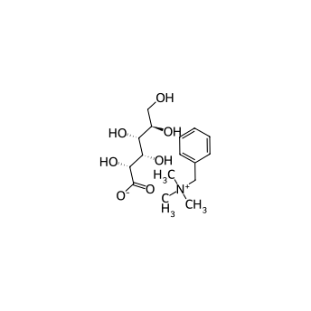 C[N+](C)(C)Cc1ccccc1.O=C([O-])[C@H](O)[C@@H](O)[C@H](O)[C@H](O)CO